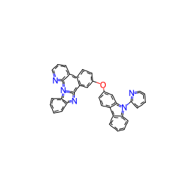 c1ccc(-n2c3ccccc3c3ccc(Oc4ccc5c6cccnc6n6c7ccccc7nc6c5c4)cc32)nc1